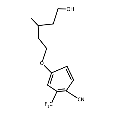 CC(CCO)CCOc1ccc(C#N)c(C(F)(F)F)c1